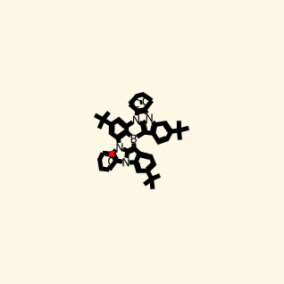 CC(C)(C)c1cc2c3c(c1)-n1c4c(n5c6cc(C(C)(C)C)ccc6c(c15)B3c1c3ccc(C(C)(C)C)cc3n3c5c(n-2c13)C1CCC5CC1)C1CCC4CC1